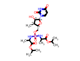 CC(C)OC(=O)C(C)NP(=O)(NC(C)C(=O)OC(C)C)OC[C@H]1O[C@@H](n2ccc(=O)[nH]c2=O)[C@H](O)[C@@H]1C